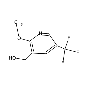 COc1ncc(C(F)(F)F)cc1CO